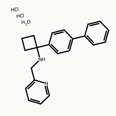 Cl.Cl.O.c1ccc(-c2ccc(C3(NCc4ccccn4)CCC3)cc2)cc1